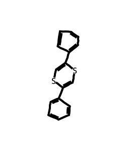 C1=C(c2ccccc2)SC=C(c2ccccc2)S1